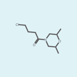 CC1CN(C(=O)CCCCl)CC(C)O1